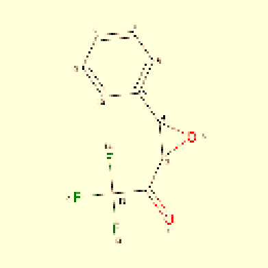 O=C(C1OC1c1ccccc1)C(F)(F)F